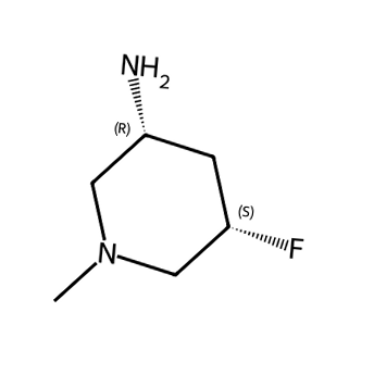 CN1C[C@H](N)C[C@H](F)C1